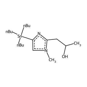 CCC[CH2][Sn]([CH2]CCC)([CH2]CCC)[c]1cn(C)c(CC(C)O)n1